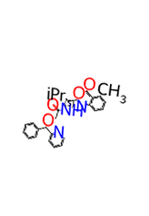 Cc1cccc2nc([C@@H](NC(=O)COC(c3ccccc3)c3ccccn3)C(C)C)oc(=O)c12